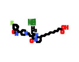 Cc1nc2n(c(=O)c1CCN1CCC(c3noc4cc(F)ccc34)CC1)CCCC2CCCCCCCCCC(=O)O.Cl.Cl